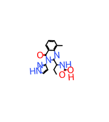 CCC(NC(=O)O)c1nc2c(C)cccc2c(=O)n1-c1cc[nH]n1